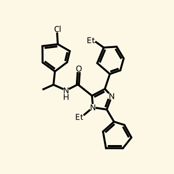 CCc1cccc(-c2nc(-c3ccccc3)n(CC)c2C(=O)NC(C)c2ccc(Cl)cc2)c1